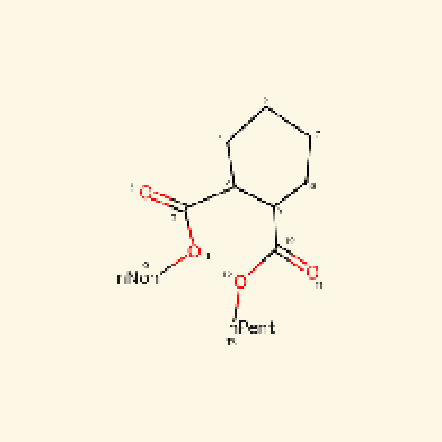 CCCCCCCCCOC(=O)C1CCCCC1C(=O)OCCCCC